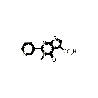 Cn1c(-c2cccnc2)nc2scc(C(=O)O)c2c1=O